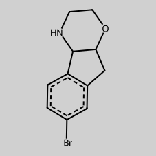 Brc1ccc2c(c1)CC1OCCNC21